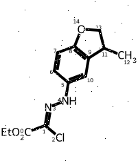 CCOC(=O)C(Cl)=NNc1ccc2c(c1)C(C)CO2